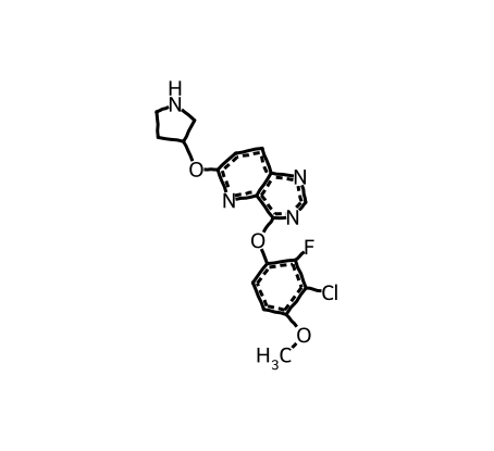 COc1ccc(Oc2ncnc3ccc(OC4CCNC4)nc23)c(F)c1Cl